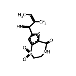 C/C=C(\C(=N)c1cc2c(s1)C(=O)NCCS2(=O)=O)C(F)(F)F